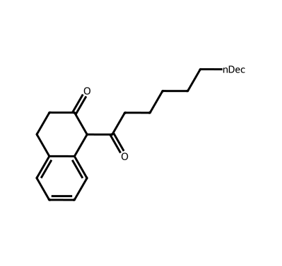 CCCCCCCCCCCCCCCC(=O)C1C(=O)CCc2ccccc21